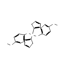 FSc1ccc([O][Zr]([O]c2ccc(SF)cc2)([C]2=CC=CC2)[C]2=CC=CC2)cc1